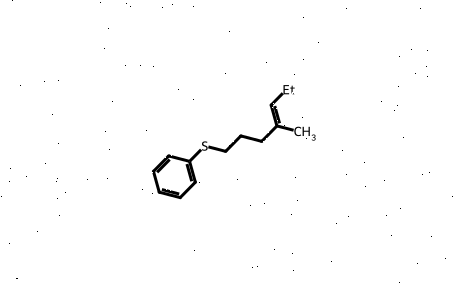 CCC=C(C)CCCSc1ccccc1